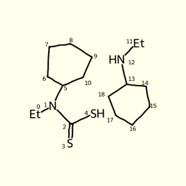 CCN(C(=S)S)C1CCCCC1.CCNC1CCCCC1